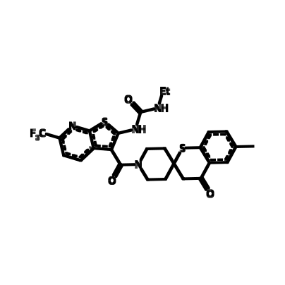 CCNC(=O)Nc1sc2nc(C(F)(F)F)ccc2c1C(=O)N1CCC2(CC1)CC(=O)c1cc(C)ccc1S2